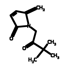 C=C1C=CC(=O)N1CC(=O)C(C)(C)C